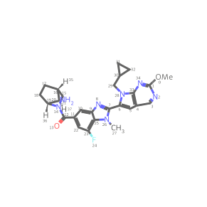 COc1ncc2cc(-c3nc4cc(C(=O)N5C[C@H]6CC[C@@H]5[C@@H]6N)cc(F)c4n3C)n(CC3CC3)c2n1